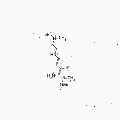 CCCN(C)CCN/C=C/C(=C(\N)C(C)OC)C(C)C